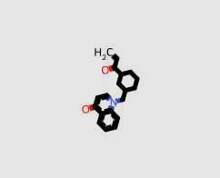 C=CC(=O)C1CCCC(Cn2ccc(=O)c3ccccc32)C1